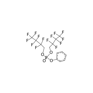 O=P(OCC(F)(F)C(F)(F)C(F)(F)F)(OCC(F)(F)C(F)(F)C(F)(F)F)Oc1ccccc1